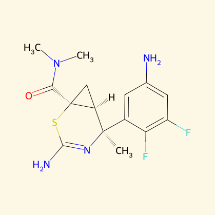 CN(C)C(=O)[C@]12C[C@H]1[C@@](C)(c1cc(N)cc(F)c1F)N=C(N)S2